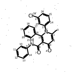 Cc1cc(=O)c(C(=O)Nc2ccccc2)c(-c2ccccc2)n1-c1cccc(Cl)c1